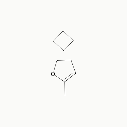 C1CCC1.CC1=CCCO1